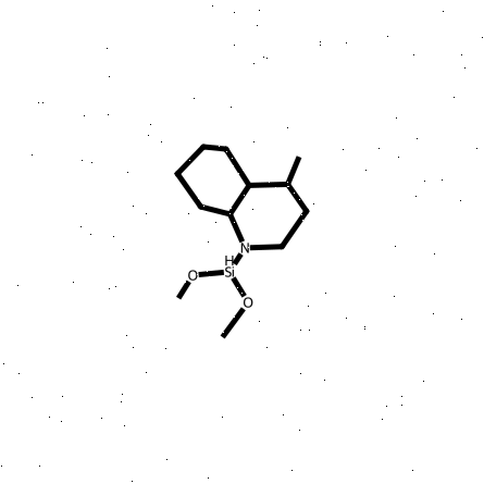 CO[SiH](OC)N1CCC(C)C2CCCCC21